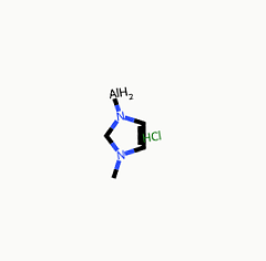 CN1C=C[N]([AlH2])C1.Cl